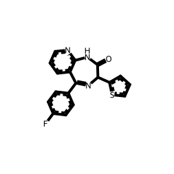 O=C1Nc2ncccc2C(c2ccc(F)cc2)=NC1c1cccs1